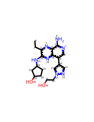 CCc1nc2c(N)ncc(-c3cnn(CCO)c3)c2nc1NC1CCC(O)C1